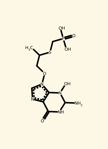 CC(COn1cnc2c1N(O)C(N)NC2=O)SCP(=O)(O)O